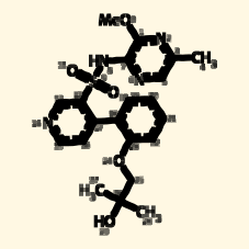 COc1nc(C)cnc1NS(=O)(=O)c1cnccc1-c1ccccc1OCC(C)(C)O